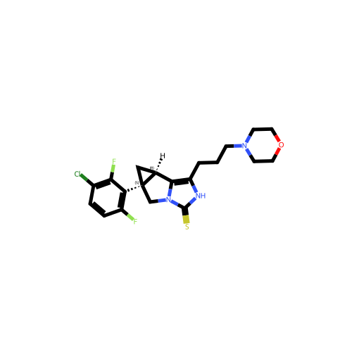 Fc1ccc(Cl)c(F)c1[C@]12C[C@H]1c1c(CCCN3CCOCC3)[nH]c(=S)n1C2